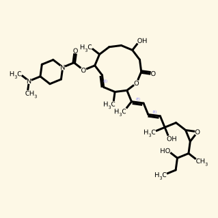 CCC(O)C(C)C1OC1CC(C)(O)/C=C/C=C(\C)C1OC(=O)CC(O)CCC(C)C(OC(=O)N2CCC(N(C)C)CC2)/C=C/C1C